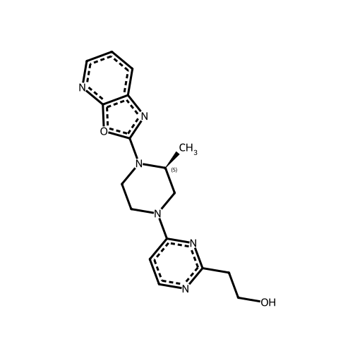 C[C@H]1CN(c2ccnc(CCO)n2)CCN1c1nc2cccnc2o1